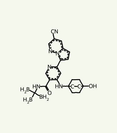 BC(B)(B)NC(=O)c1cnc(-c2ccc3cc(C#N)cnn23)cc1NC12CCC(O)(CC1)CC2